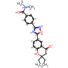 CCC1(CC)CC(=O)c2cc(-c3nc(-c4ccc(C(=O)N(C)C)cc4)no3)ccc2O1